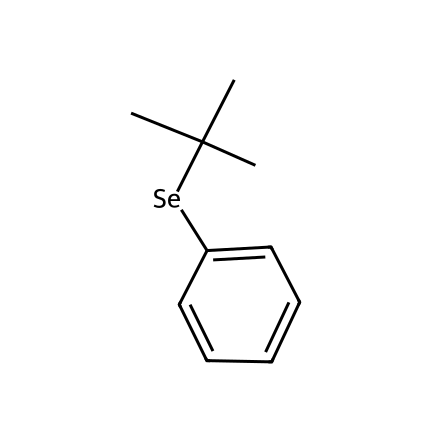 CC(C)(C)[Se]c1ccccc1